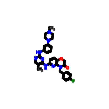 Cc1cnc(Nc2cccc(N3CCN(C)CC3)c2)nc1Nc1ccc2c(n1)N(Cc1ccc(F)cc1)C(=O)CO2